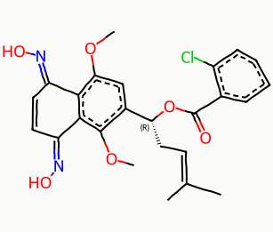 COc1cc([C@@H](CC=C(C)C)OC(=O)c2ccccc2Cl)c(OC)c2c1C(=NO)C=CC2=NO